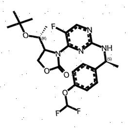 C[C@H](Nc1ncc(F)c(N2C(=O)OCC2[C@@H](C)OC(C)(C)C)n1)c1ccc(OC(F)F)cc1